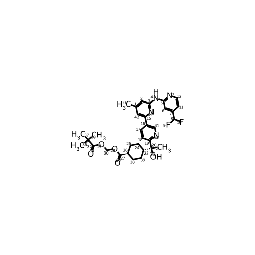 Cc1cc(Nc2cc(C(F)F)ccn2)nc(-c2ccc(C(C)(O)[C@H]3CC[C@H](C(=O)OCOC(=O)C(C)(C)C)CC3)nc2)c1